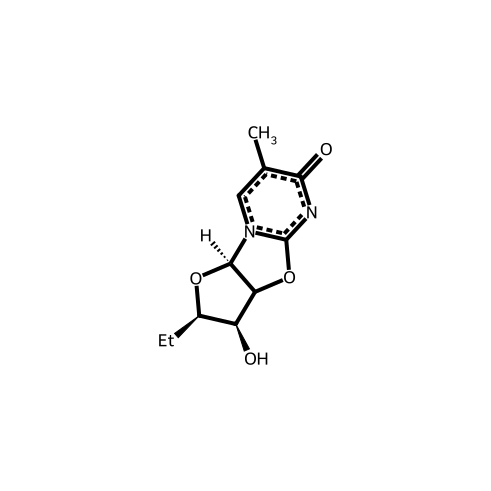 CC[C@H]1O[C@@H]2C(Oc3nc(=O)c(C)cn32)[C@H]1O